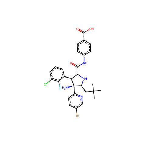 CC(C)(C)C[C@@H]1N[C@@H](C(=O)Nc2ccc(C(=O)O)cc2)[C@H](c2cccc(Cl)c2F)[C@@]1(N)c1ccc(Br)cn1